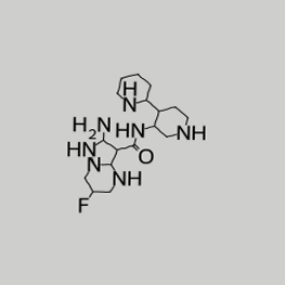 NC1NN2CC(F)CNC2C1C(=O)NC1CNCCC1C1CCCCN1